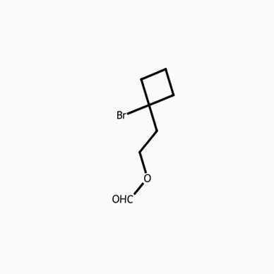 O=COCCC1(Br)CCC1